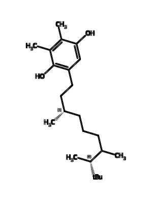 Cc1c(O)cc(CC[C@@H](C)CCCC(C)[C@@H](C)C(C)(C)C)c(O)c1C